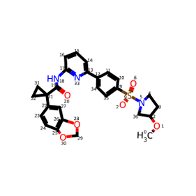 COC1CCN(S(=O)(=O)c2ccc(-c3cccc(NC(=O)C4(c5ccc6c(c5)OCO6)CC4)n3)cc2)C1